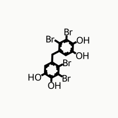 Oc1cc(Cc2cc(O)c(O)c(Br)c2Br)c(Br)c(Br)c1O